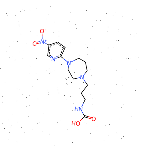 O=C(O)NCCCN1CCCN(c2ccc([N+](=O)[O-])cn2)CC1